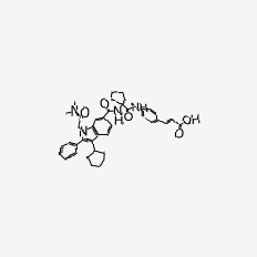 CN(C)C(=O)Cn1c(-c2ccccc2)c(C2CCCCC2)c2ccc(C(=O)NC3(C(=O)Nc4ccc(C=CC(=O)O)cc4)CCCC3)cc21